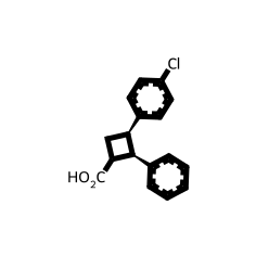 O=C(O)C1C[C@@H](c2ccc(Cl)cc2)[C@H]1c1ccccc1